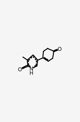 Cc1cc(C2=CCC(=O)CC2)c[nH]c1=O